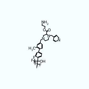 Cc1cc(CN2CCN(Cc3ccncc3)C(C(=O)OCCN)C2)ccc1-c1ccc(C(O)(C(F)(F)F)C(F)(F)F)cc1